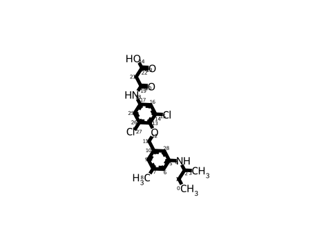 CCC(C)Nc1cc(C)cc(COc2c(Cl)cc(NC(=O)CC(=O)O)cc2Cl)c1